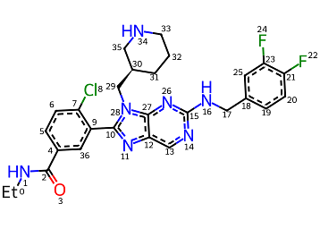 CCNC(=O)c1ccc(Cl)c(-c2nc3cnc(NCc4ccc(F)c(F)c4)nc3n2C[C@@H]2CCCNC2)c1